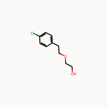 OCCOCCc1ccc(Cl)cc1